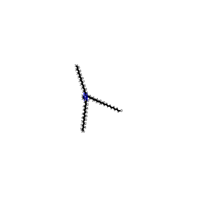 CCCCCCCCCCCCCCCCCCCC1N(CCCCCCCCCCCCCCCC)C=CN1CCCCCCCCCCCCCCCCC